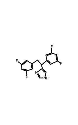 Fc1cc(F)cc(CC(c2cc(F)cc(F)c2)c2c[nH]cn2)c1